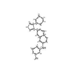 CC(C)c1cnnc(Nc2ccc3ncc(C4=CCN=C4c4cccnc4)cc3n2)c1